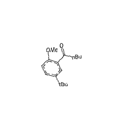 CCCCC(=O)c1cc(C(C)(C)C)ccc1OC